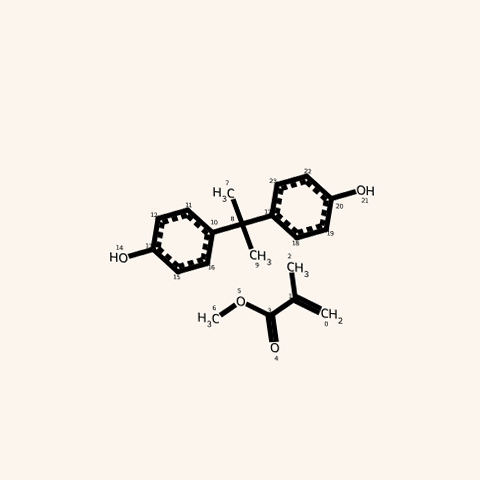 C=C(C)C(=O)OC.CC(C)(c1ccc(O)cc1)c1ccc(O)cc1